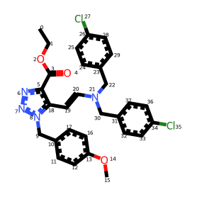 CCOC(=O)c1nnn(Cc2ccc(OC)cc2)c1/C=C/N(Cc1ccc(Cl)cc1)Cc1ccc(Cl)cc1